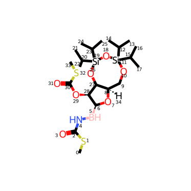 CSC(=O)NB[C@@H]1O[C@@H]2CO[Si](C(C)C)(C(C)C)O[Si](C(C)C)(C(C)C)OC2[C@@H]1OC(=O)SC